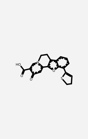 O=C(O)c1cn2c(cc1=O)-c1oc3c(C4=CCCS4)cccc3c1CC2